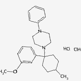 COc1cccc(C2(N3CCN(c4ccccc4)CC3)CCC(C)CC2)c1.Cl.Cl